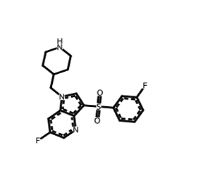 O=S(=O)(c1cccc(F)c1)c1cn(CC2CCNCC2)c2cc(F)cnc12